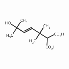 CC(C)(O)C=CC(C)(C)C(C(=O)O)C(=O)O